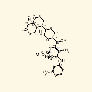 C=C(Nc1cccc(C(F)(F)F)c1)/C(C)=C(\N=C(/N)OC)C(=O)N1CCC(N2CCO[C@@H]3COCC[C@@H]32)CC1